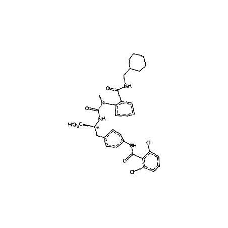 CN(C(=O)N[C@@H](Cc1ccc(NC(=O)c2c(Cl)cccc2Cl)cc1)C(=O)O)c1ccccc1C(=O)NCC1CCCCC1